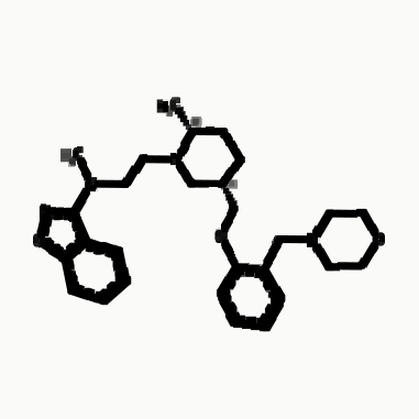 C[C@@H]1CC[C@H](COc2ccccc2CN2CCOCC2)CN1CCN(C)c1noc2ccccc12